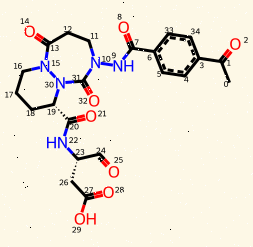 CC(=O)c1ccc(C(=O)NN2CCC(=O)N3CCC[C@@H](C(=O)N[C@H](C=O)CC(=O)O)N3C2=O)cc1